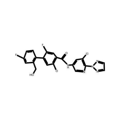 O=C(Nc1cnc(-n2nccn2)c(Cl)c1)c1cc(F)c(-c2ccc(F)cc2CO)cc1Cl